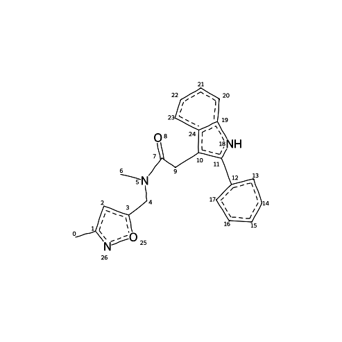 Cc1cc(CN(C)C(=O)Cc2c(-c3ccccc3)[nH]c3ccccc23)on1